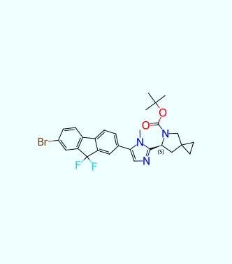 Cn1c(-c2ccc3c(c2)C(F)(F)c2cc(Br)ccc2-3)cnc1[C@@H]1CC2(CC2)CN1C(=O)OC(C)(C)C